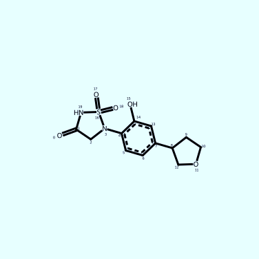 O=C1CN(c2ccc(C3CCOC3)cc2O)S(=O)(=O)N1